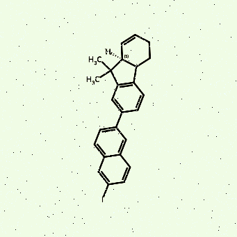 CC1(C)c2cc(-c3ccc4cc(I)ccc4c3)ccc2C2CCC=C[C@@H]21